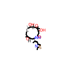 CC(=Cc1csc(C)n1)[C@@H]1C[C@@H]2OC2(C)CCC[C@H](C)[C@H](O)[C@@H](C)C(=O)C(C)(C)[C@@H](O)CC(=O)N1